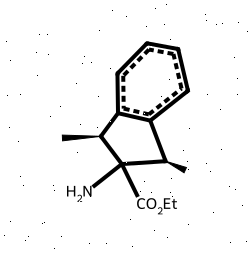 CCOC(=O)C1(N)[C@H](C)c2ccccc2[C@@H]1C